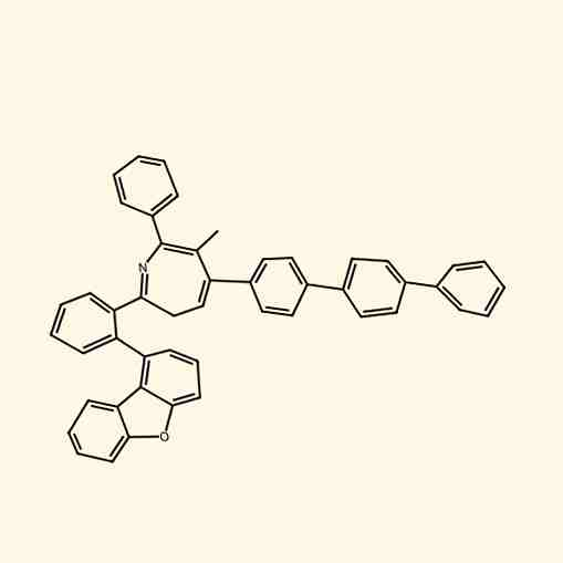 CC1=C(c2ccccc2)N=C(c2ccccc2-c2cccc3oc4ccccc4c23)CC=C1c1ccc(-c2ccc(-c3ccccc3)cc2)cc1